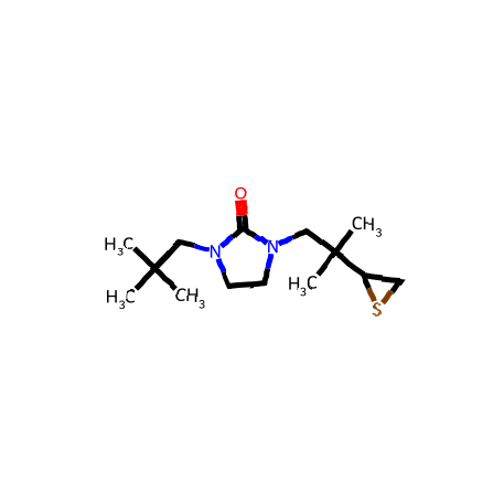 CC(C)(C)CN1CCN(CC(C)(C)C2CS2)C1=O